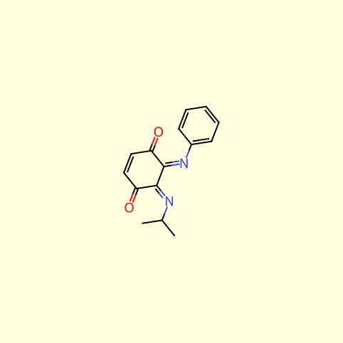 CC(C)N=c1c(=O)ccc(=O)c1=Nc1ccccc1